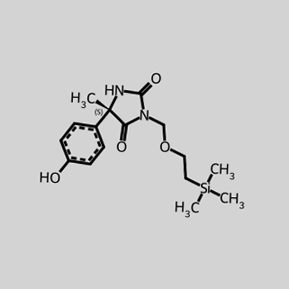 C[C@@]1(c2ccc(O)cc2)NC(=O)N(COCC[Si](C)(C)C)C1=O